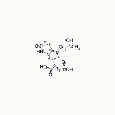 CC(O)COc1cccc2c1CCC(=O)N2.O=C(O)/C=C/C(=O)O